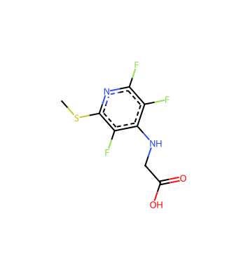 CSc1nc(F)c(F)c(NCC(=O)O)c1F